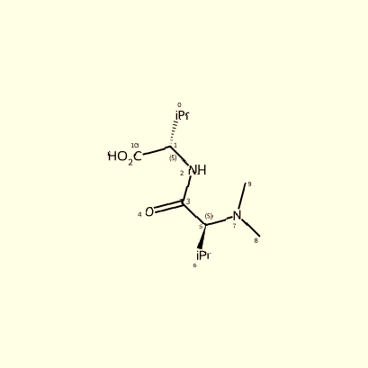 CC(C)[C@H](NC(=O)[C@H](C(C)C)N(C)C)C(=O)O